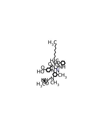 CCCCCCCCCCCCn1c(/C(=N\c2ccc(N(CC)CCNS(C)(=O)=O)cc2C)C(=O)Nc2ccccc2OC)nc2ccc(C(=O)O)cc2c1=O